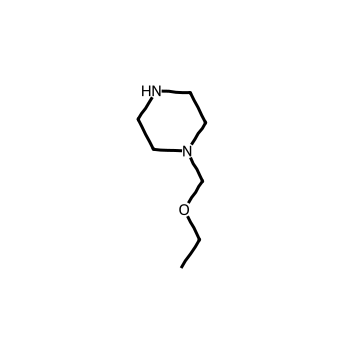 CCOCN1CCNCC1